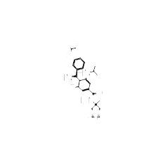 CC(C)NC1=CC(C(=O)NC2(C)CS(=O)(=O)C2)=CC(F)C1C(=N)c1cccc(OC(F)F)c1